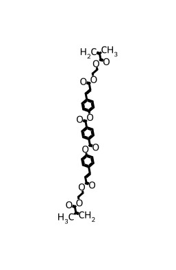 C=C(C)C(=O)OCCOC(=O)/C=C/c1ccc(OC(=O)c2ccc(C(=O)Oc3ccc(/C=C/C(=O)OCCOC(=O)C(=C)C)cc3)cc2)cc1